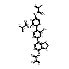 C=C(C)C(=O)Oc1ccc(-c2ccc(-c3ccc(OC(=O)C(=C)C)c4c3CCC4)cc2F)c(OC(=O)C(=C)C)c1